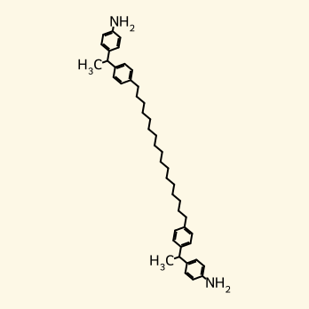 CC(c1ccc(N)cc1)c1ccc(CCCCCCCCCCCCCCCCCc2ccc(C(C)c3ccc(N)cc3)cc2)cc1